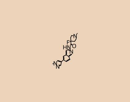 CN1CCC(F)(C(=O)Nc2cc3cc(-c4cnn(C)c4)ccc3cn2)CC1